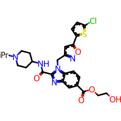 CC(C)N1CCC(NC(=O)c2nc3cc(C(=O)OCCO)ccc3n2Cc2cc(-c3ccc(Cl)s3)on2)CC1